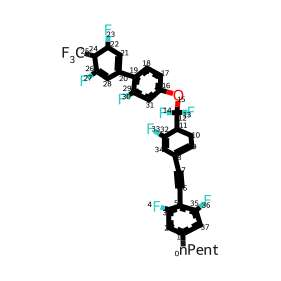 CCCCCc1cc(F)c(C#CC2=CCC(C(F)(F)Oc3ccc(C4=CC(F)C(C(F)(F)F)C(F)=C4)c(F)c3)C(F)=C2)c(F)c1